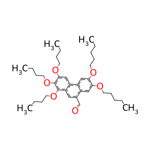 CCCCCOc1cc2c(C=O)cc3c(OCCCC)c(OCCCC)c(OCCCC)cc3c2cc1OCCCCC